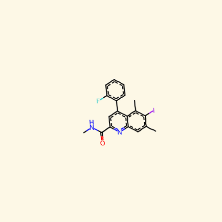 CNC(=O)c1cc(-c2ccccc2F)c2c(C)c(I)c(C)cc2n1